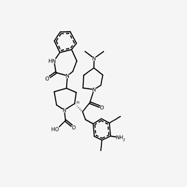 Cc1cc(CC(C(=O)N2CCC(N(C)C)CC2)[C@H]2CC(N3CCc4ccccc4NC3=O)CCN2C(=O)O)cc(C)c1N